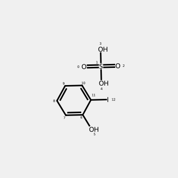 O=S(=O)(O)O.Oc1ccccc1I